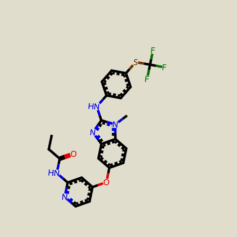 CCC(=O)Nc1cc(Oc2ccc3c(c2)nc(Nc2ccc(SC(F)(F)F)cc2)n3C)ccn1